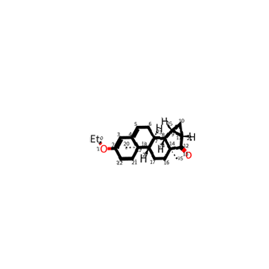 CCOC1=CC2=CC[C@H]3[C@@H]4[C@@H]5C[C@@H]5C(=O)[C@@]4(C)CC[C@@H]3[C@@]2(C)CC1